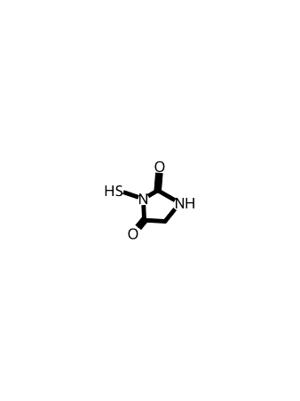 O=C1CNC(=O)N1S